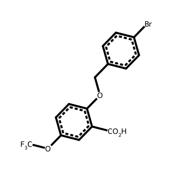 O=C(O)c1cc(OC(F)(F)F)ccc1OCc1ccc(Br)cc1